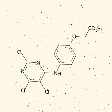 CCOC(=O)COc1ccc(Nc2nc(Cl)nc(Cl)c2Cl)cc1